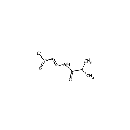 CC(C)C(=O)N/C=C/[N+](=O)[O-]